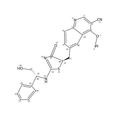 CC(C)Oc1c(C#N)cnc2ccc(C[C@H]3SC(N[C@@H](CO)c4ccccc4)=NC3=O)cc12